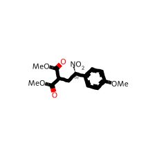 COC(=O)C(C[C@@H](c1ccc(OC)cc1)[N+](=O)[O-])C(=O)OC